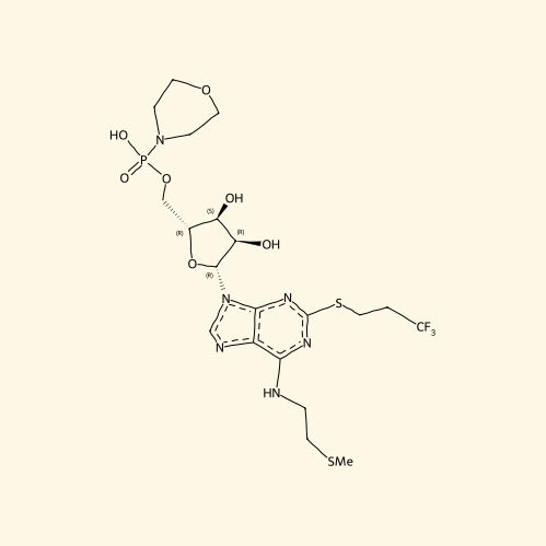 CSCCNc1nc(SCCC(F)(F)F)nc2c1ncn2[C@@H]1O[C@H](COP(=O)(O)N2CCOCC2)[C@@H](O)[C@H]1O